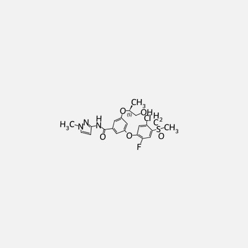 C=S(C)(=O)c1cc(F)c(Oc2cc(O[C@@H](C)CO)cc(C(=O)Nc3ccn(C)n3)c2)cc1Cl